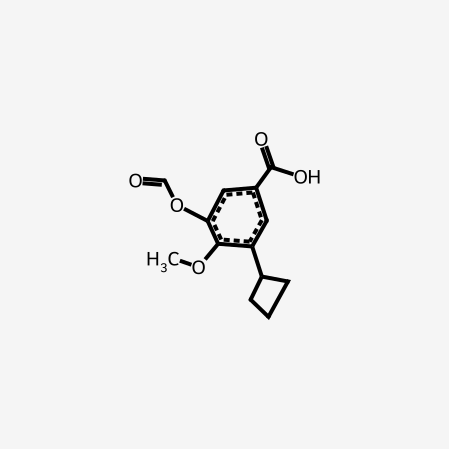 COc1c(OC=O)cc(C(=O)O)cc1C1CCC1